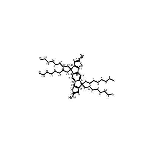 CCCCCCCCC1(CCCCCCCC)c2cc3c(cc2-c2sc(Br)cc21)C(CCCCCCCC)(CCCCCCCC)c1cc(Br)sc1-3